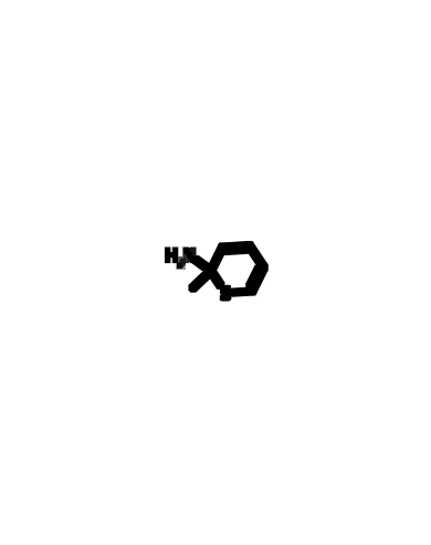 CC1(N)C=CC=CS1